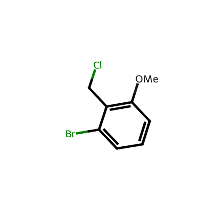 COc1cccc(Br)c1CCl